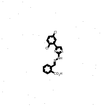 O=C(O)c1ccccc1C=NNc1nc(-c2cc(Cl)ccc2Cl)cs1